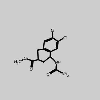 COC(=O)C1Cc2cc(Cl)c(Cl)cc2C(NC(N)=O)C1